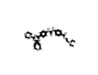 CCN(CC)CCOC(=O)c1ccc(NC(=O)Nc2ccc(-c3nc(N4CCOCC4)nc(N4C5CCC4COC5)n3)cc2)cc1